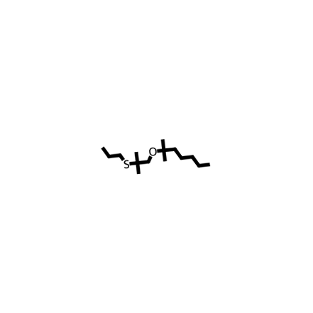 CCCCCC(C)(C)OCC(C)(C)SCCC